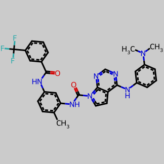 Cc1ccc(NC(=O)c2cccc(C(F)(F)F)c2)cc1NC(=O)n1ccc2c(Nc3cccc(N(C)C)c3)ncnc21